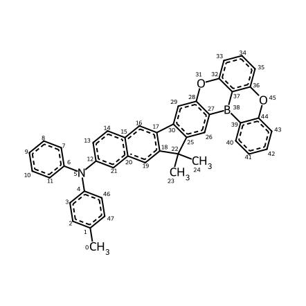 Cc1ccc(N(c2ccccc2)c2ccc3cc4c(cc3c2)C(C)(C)c2cc3c(cc2-4)Oc2cccc4c2B3c2ccccc2O4)cc1